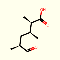 C[C@H](C=O)C[C@H](C)[C@@H](C)C(=O)O